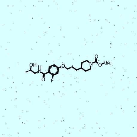 C[C@@H](O)CNC(=O)c1ccc(OCCCC2CCN(C(=O)OC(C)(C)C)CC2)cc1F